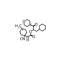 CN1CCC(C#N)(NC(=O)OC(CC2CCCCC2)C(=O)N2CCOCC2)CC1